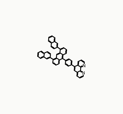 c1ccc2cc(-c3cccc4c(-c5ccc(-c6cc7cccnc7c7ncccc67)cc5)c5cccc(-c6ccc7ccccc7c6)c5cc34)ccc2c1